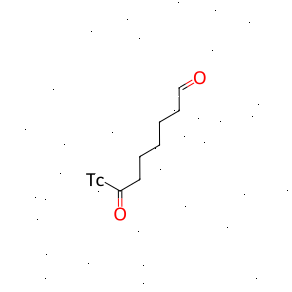 O=CCCCCC[C](=O)[Tc]